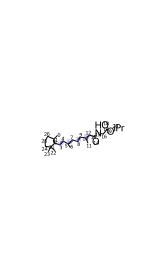 CC1=C(/C=C/C(C)=C/C=C/C(C)=C/C(=O)NCC(=O)OC(C)C)C(C)(C)CCC1